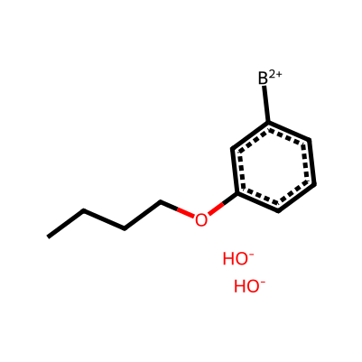 [B+2]c1cccc(OCCCC)c1.[OH-].[OH-]